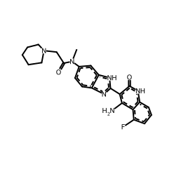 CN(C(=O)CN1CCCCC1)c1ccc2nc(-c3c(N)c4c(F)cccc4[nH]c3=O)[nH]c2c1